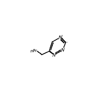 CCCCc1cn[c]nn1